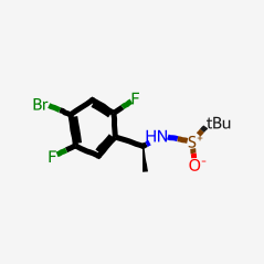 C[C@H](N[S+]([O-])C(C)(C)C)c1cc(F)c(Br)cc1F